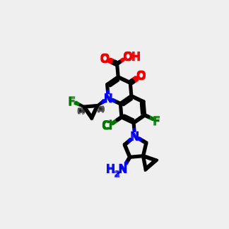 NC1CN(c2c(F)cc3c(=O)c(C(=O)O)cn([C@H]4C[C@H]4F)c3c2Cl)CC12CC2